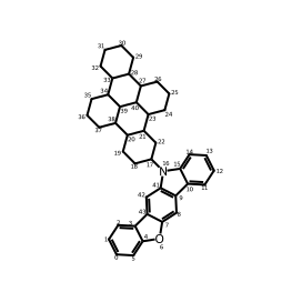 c1ccc2c(c1)oc1cc3c4ccccc4n(C4CCC5C(C4)C4CCCC6C7CCCCC7C7CCCC5C7C64)c3cc12